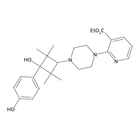 CCOC(=O)c1cccnc1N1CCN(C2C(C)(C)C(O)(c3ccc(O)cc3)C2(C)C)CC1